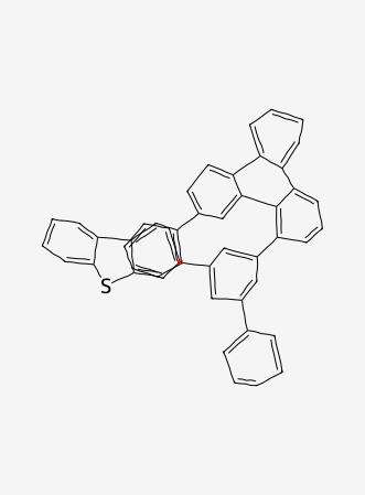 c1ccc(-c2cc(-c3ccccc3)cc(-c3cccc4c5ccccc5c5ccc(-c6ccc7sc8ccccc8c7c6)cc5c34)c2)cc1